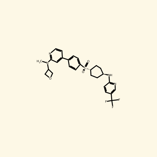 CN(c1cc(-c2ccc(S(=O)(=O)[C@H]3CC[C@H](Nc4ccc(C(F)(F)F)cn4)CC3)cc2)ccn1)C1COC1